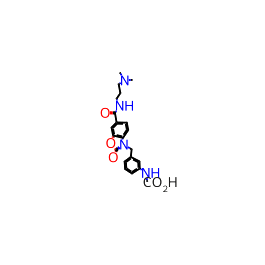 CN(C)CCCNC(=O)c1ccc2c(c1)oc(=O)n2Cc1cccc(NC(=O)O)c1